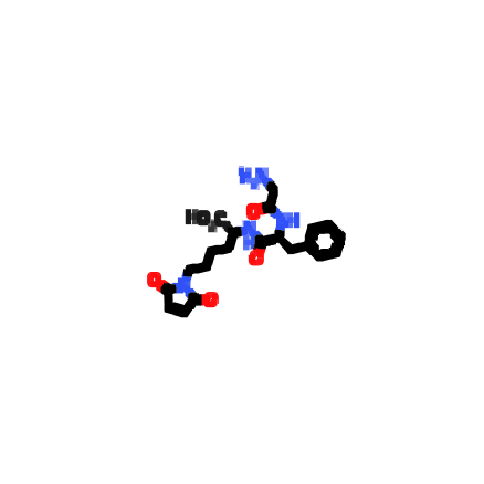 NCC(=O)N[C@@H](Cc1ccccc1)C(=O)N[C@@H](CCCCN1C(=O)C=CC1=O)C(=O)O